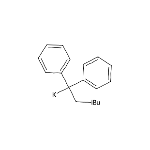 CCC(C)C[C]([K])(c1ccccc1)c1ccccc1